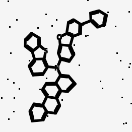 c1ccc(-c2ccc3oc4cc(N(c5cccc6c5ccc5c7ccccc7ccc65)c5cccc6c5sc5ccccc56)ccc4c3c2)cc1